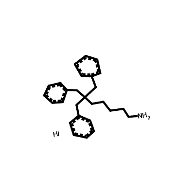 I.NCCCCCC(Cc1ccccc1)(Cc1ccccc1)Cc1ccccc1